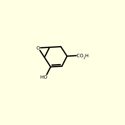 O=C(O)C1C=C(O)C2OC2C1